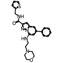 O=C(NCc1cccs1)c1cc2cc(-c3ccccc3)cc(NCCN3CCOCC3)n2n1